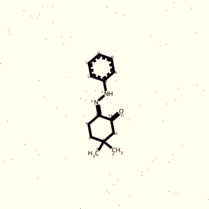 CC1(C)CCC(=NNc2ccccc2)C(=O)C1